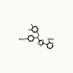 CNc1ncccc1-c1noc(C(Cc2ccc(C)c(C)c2)c2ccc(OC)cc2)n1